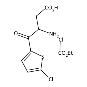 CCOC(=O)Cl.NC(CC(=O)O)C(=O)c1ccc(Cl)s1